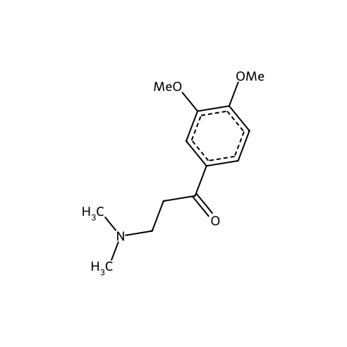 COc1ccc(C(=O)CCN(C)C)cc1OC